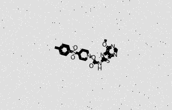 COc1ncnc2sc(NC(=O)ON3CCC(S(=O)(=O)c4ccc(C)cc4)CC3)nc12